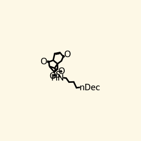 CCCCCCCCCCCCCCNS(=O)(=O)C1C2C=CC13CC(=O)C=CC3C2=O